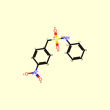 O=[N+]([O-])c1ccc(CS(=O)(=O)Nc2ccccc2)cc1